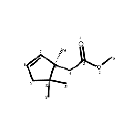 COC(=O)C[C@]1(C)C=CCC1(C)C